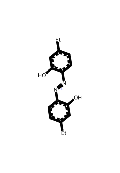 CCc1ccc(/N=N/c2ccc(CC)cc2O)c(O)c1